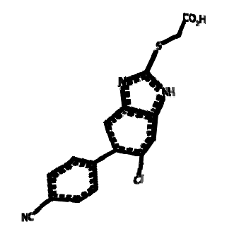 N#Cc1ccc(-c2cc3nc(SCC(=O)O)[nH]c3cc2Cl)cc1